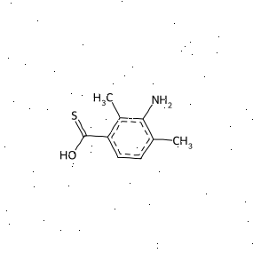 Cc1ccc(C(O)=S)c(C)c1N